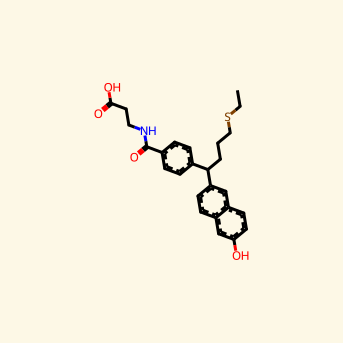 CCSCCCC(c1ccc(C(=O)NCCC(=O)O)cc1)c1ccc2cc(O)ccc2c1